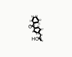 C=C(O)Cc1ccc(C(=O)c2ccccc2)cc1